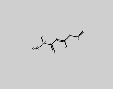 C=NC/C(C)=C/C(=O)N(C)C=O